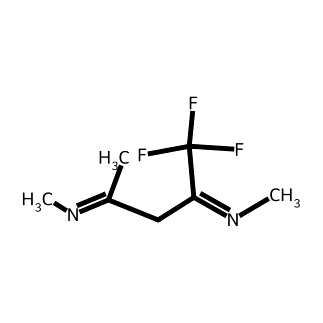 C/N=C(/C/C(C)=N/C)C(F)(F)F